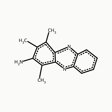 Cc1c(N)c(C)c2nc3ccccc3nc2c1C